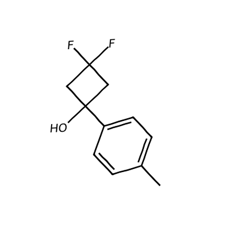 Cc1ccc(C2(O)CC(F)(F)C2)cc1